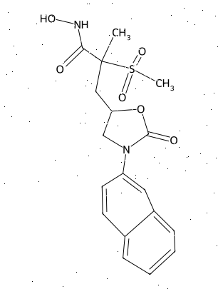 CC(CC1CN(c2ccc3ccccc3c2)C(=O)O1)(C(=O)NO)S(C)(=O)=O